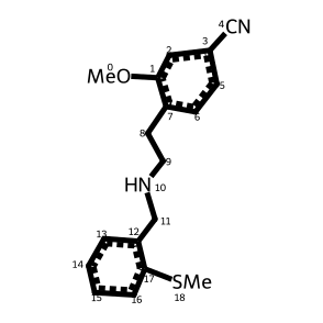 COc1cc(C#N)ccc1CCNCc1ccccc1SC